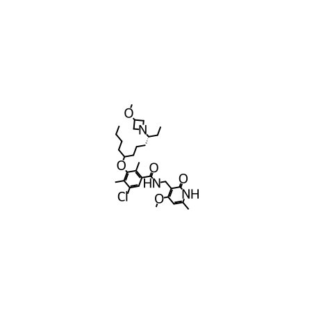 CCCCC(CCC[C@@H](CC)N1CC(OC)C1)Oc1c(C)c(Cl)cc(C(=O)NCc2c(OC)cc(C)[nH]c2=O)c1C